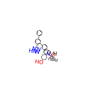 CCCCC(=O)N(Cc1ccc(-c2cc(-c3ccccc3)ccc2-c2nn[nH]n2)cc1)C1(C(=O)O)CCC(O)CC1